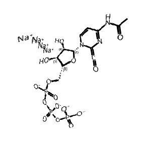 CC(=O)NC1=NC(=C=O)N([C@@H]2O[C@H](COP(=O)([O-])OP(=O)([O-])OP(=O)([O-])[O-])[C@@H](O)[C@H]2O)C=C1.[Na+].[Na+].[Na+].[Na+]